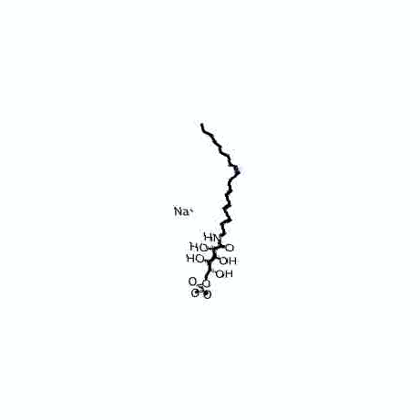 CCCCCCCC/C=C\CCCCCCCCNC(=O)[C@H](O)[C@@H](O)[C@H](O)[C@H](O)COS(=O)(=O)[O-].[Na+]